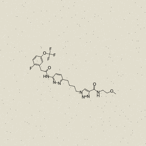 COCCNC(=O)c1cn(CCCCc2ccc(NC(=O)Cc3cc(OC(F)(F)F)ccc3F)nn2)nn1